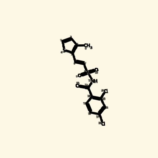 Cc1ccsc1/C=C/S(=O)(=O)NC(=O)c1ccc(Cl)cc1Cl